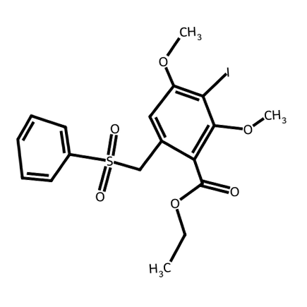 CCOC(=O)c1c(CS(=O)(=O)c2ccccc2)cc(OC)c(I)c1OC